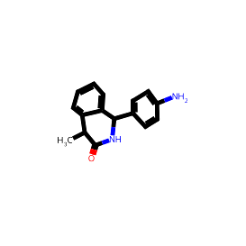 CC1C(=O)NC(c2ccc(N)cc2)c2ccccc21